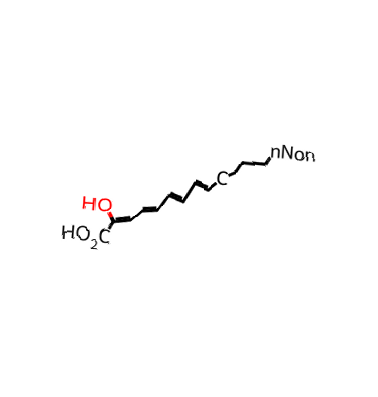 CCCCCCCCCCCCCC=CC=CC=CC=C(O)C(=O)O